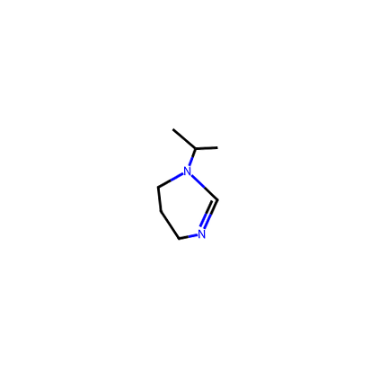 CC(C)N1C=NCCC1